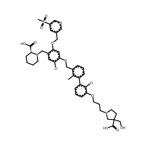 Cc1c(COc2cc(OCc3cncc(S(C)(=O)=O)c3)c(CN3CCCC[C@H]3C(=O)O)cc2Cl)cccc1-c1cccc(OCCCN2CCC(CO)(C(=O)O)C2)c1Cl